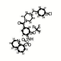 O=C(c1ccc(NS(=O)(=O)c2cccc3cccnc23)c(OC(F)(F)F)c1)N1CCN(Cc2ccc(Cl)cc2)CC1